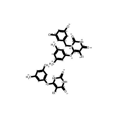 CCc1c(Oc2cc(C)cc(C)c2)[nH]c(=O)[nH]c1=O.CCc1c(Oc2cc(C)cc(C)c2)n(Cc2cc(Cl)cc(Cl)c2)c(=O)[nH]c1=O